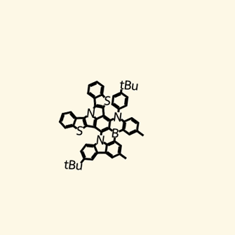 Cc1ccc2c(c1)B1c3c(c4c5sc6ccccc6c5n5c6c7ccccc7sc6c(c3-n3c6ccc(C(C)(C)C)cc6c6cc(C)cc1c63)c45)N2c1ccc(C(C)(C)C)cc1